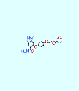 Cn1ncc2cc(C(N)=O)c(Oc3ccc(OCCO[C@H]4CCCOC4)cc3)cc21